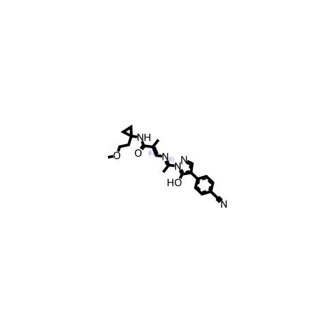 COCCC1(NC(=O)/C(C)=C/N=C(\C)n2ncc(-c3ccc(C#N)cc3)c2O)CC1